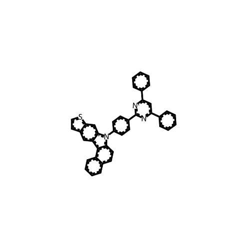 c1ccc(-c2cc(-c3ccccc3)nc(-c3ccc(-n4c5cc6sccc6cc5c5c6ccccc6ccc54)cc3)n2)cc1